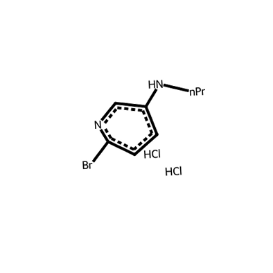 CCCNc1ccc(Br)nc1.Cl.Cl